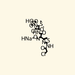 CON=C(C(=O)N[C@]1(OC)C(=O)N(S(=O)(=O)O)[C@@H]1SC)c1csc(NC(=O)CCl)n1.[NaH]